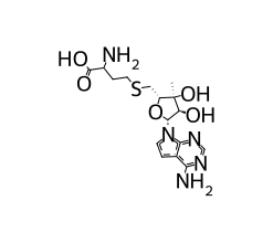 C[C@@]1(O)[C@@H](CSCCC(N)C(=O)O)O[C@@H](n2ccc3c(N)ncnc32)[C@@H]1O